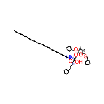 CC#CC#CC#CC#CC#CC#CC#CC#CC#CC#CC#CC#CC(=O)N[C@@H](CO[C@H]1OC(COCc2ccccc2)[C@H](C)[C@H](C)C1OCc1ccccc1)[C@H](O)/C=C/CCc1ccccc1